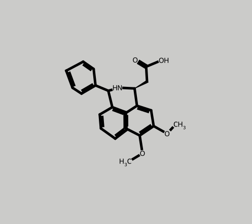 COc1ccc([C@H](CC(=O)O)NC(c2ccccc2)c2ccccc2)cc1OC